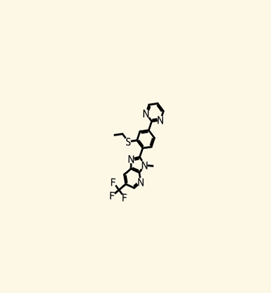 CCSc1cc(-c2ncccn2)ccc1-c1nc2cc(C(F)(F)F)cnc2n1C